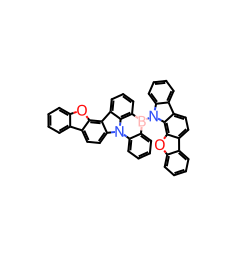 c1ccc2c(c1)B(n1c3ccccc3c3ccc4c5ccccc5oc4c31)c1cccc3c4c5oc6ccccc6c5ccc4n-2c13